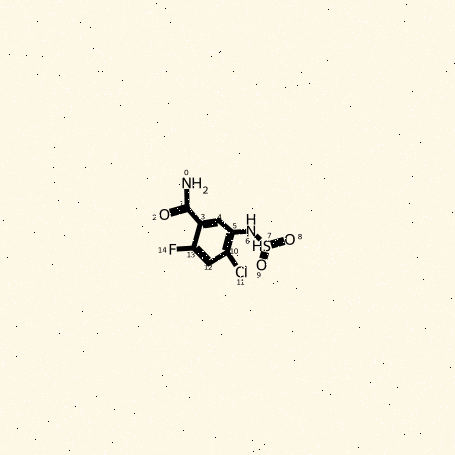 NC(=O)c1cc(N[SH](=O)=O)c(Cl)cc1F